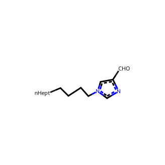 CCCCCCCCCCCn1cnc(C=O)c1